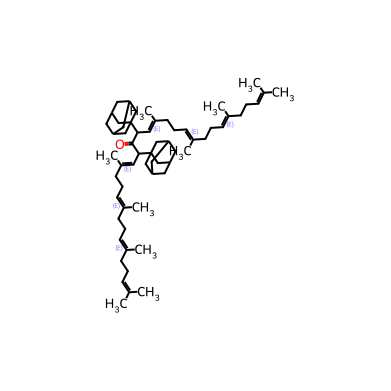 CC(C)=CCC/C(C)=C/CC/C(C)=C/CC/C(C)=C/C(C(=O)C(/C=C(\C)CC/C=C(\C)CC/C=C(\C)CCC=C(C)C)C12CC3CC(CC(C3)C1)C2)C12CC3CC(CC(C3)C1)C2